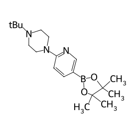 CC(C)(C)N1CCN(c2ccc(B3OC(C)(C)C(C)(C)O3)cn2)CC1